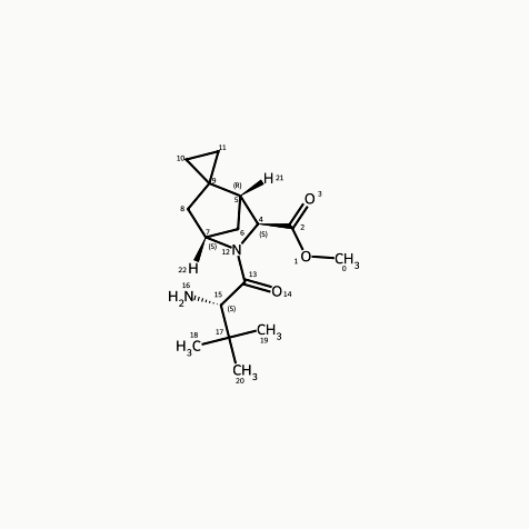 COC(=O)[C@@H]1[C@@H]2C[C@@H](CC23CC3)N1C(=O)[C@@H](N)C(C)(C)C